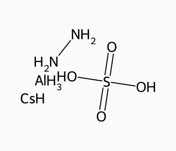 NN.O=S(=O)(O)O.[AlH3].[CsH]